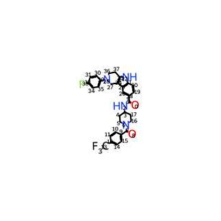 O=C(NC1CCN(C(=O)c2ccc(C(F)(F)F)cc2)CC1)c1ccc2[nH]c3c(c2c1)CN(c1ccc(F)cc1)CC3